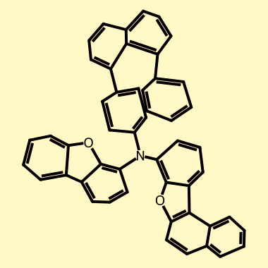 c1ccc(-c2cccc3cccc(-c4ccc(N(c5cccc6c5oc5ccccc56)c5cccc6c5oc5ccc7ccccc7c56)cc4)c23)cc1